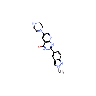 Cn1cc2cc(-c3nc4ncc(N5CCNCC5)cc4c(=O)[nH]3)ccc2n1